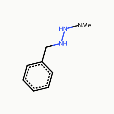 CNNNCc1ccccc1